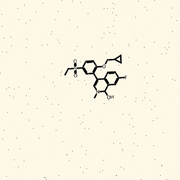 CCS(=O)(=O)c1ccc(OCC2CC2)c(C2=CN(C)C(O)c3cc(F)ccc32)c1